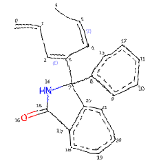 C=C/C=C(\C=C/C)C1(c2ccccc2)NC(=O)c2ccccc21